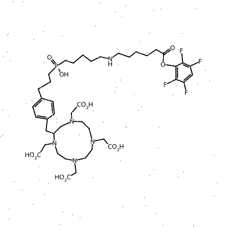 O=C(O)CN1CCN(CC(=O)O)CCN(CC(=O)O)C(Cc2ccc(CCCP(=O)(O)CCCCCNCCCCCC(=O)Oc3c(F)c(F)cc(F)c3F)cc2)CN(CC(=O)O)CC1